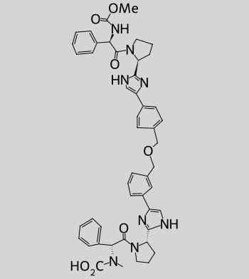 COC(=O)N[C@@H](C(=O)N1CCC[C@H]1c1nc(-c2ccc(COCc3cccc(-c4c[nH]c([C@@H]5CCCN5C(=O)[C@@H](c5ccccc5)N(C)C(=O)O)n4)c3)cc2)c[nH]1)c1ccccc1